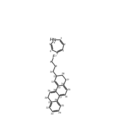 C1=CC=CNC=C1.FCCCC1C=c2c(ccc3c2=CCc2ccccc2-3)CC1